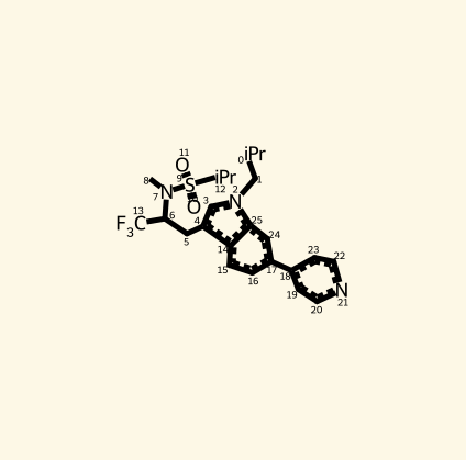 CC(C)Cn1cc(CC(N(C)S(=O)(=O)C(C)C)C(F)(F)F)c2ccc(-c3ccncc3)cc21